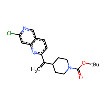 C=C(c1ccc2cnc(Cl)cc2n1)C1CCN(C(=O)OC(C)(C)C)CC1